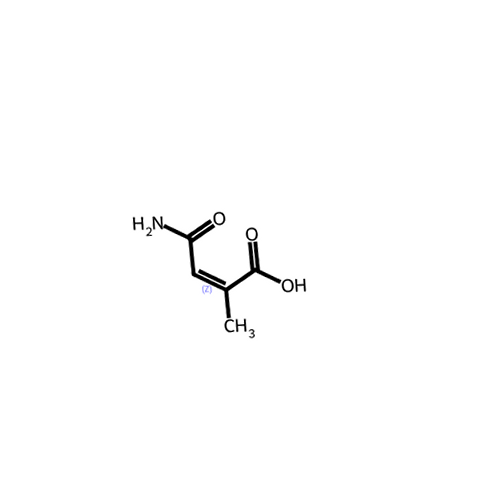 C/C(=C/C(N)=O)C(=O)O